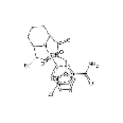 CC[C@H]1CN(Cc2cnn[nH]2)C(=O)C2CCCC1N2S(=O)(=O)c1cc(Cl)cc(C(N)=O)c1